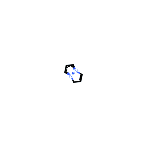 C1=C[n+]2cccn2C1